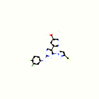 O=C(O)c1cncc(-c2cnc(Nc3ccc(F)c(Cl)c3)nc2-n2ccc(C(F)(F)F)n2)c1